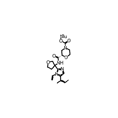 C=Cn1c(/C(C)=C\C)cnc1C1(NC(=O)[C@@H]2CN(C(=O)OC(C)(C)C)CCO2)CCOC1